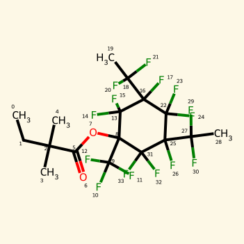 CCC(C)(C)C(=O)OC1(C(F)(F)F)C(F)(F)C(F)(C(C)(F)F)C(F)(F)C(F)(C(C)(F)F)C1(F)F